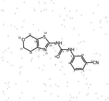 N#Cc1cccc(NC(=O)Nc2nc3c(s2)COCC3)c1